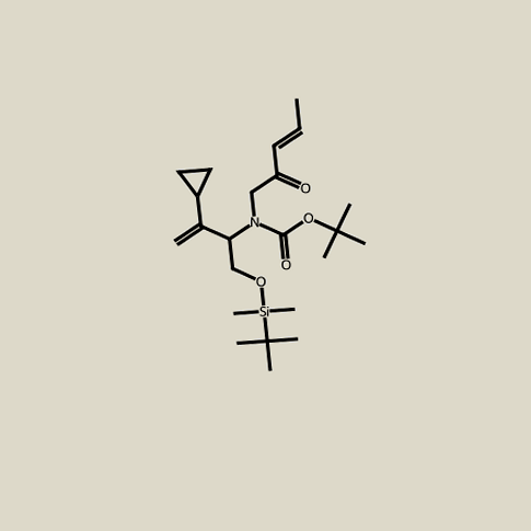 C=C(C1CC1)C(CO[Si](C)(C)C(C)(C)C)N(CC(=O)/C=C/C)C(=O)OC(C)(C)C